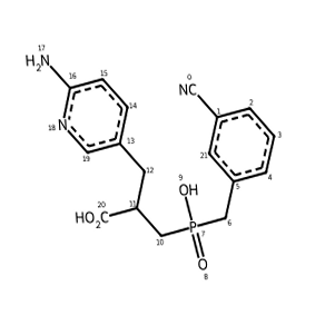 N#Cc1cccc(CP(=O)(O)CC(Cc2ccc(N)nc2)C(=O)O)c1